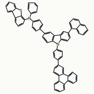 c1ccc(N(c2ccc(-c3ccc4c(c3)c3cc(-c5cccc6ccccc56)ccc3n4-c3ccc(-c4ccc5c6ccccc6c6ccccc6c5c4)cc3)cc2)c2cccc3c2sc2ccccc23)cc1